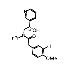 CCCN(C[C@@H](O)c1cccnc1)C(=O)Cc1ccc(OC)c(Cl)c1